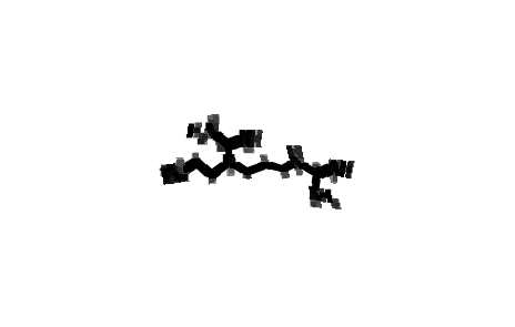 CC(C)(C)CCN(CCCNC(=N)N)C(=N)N